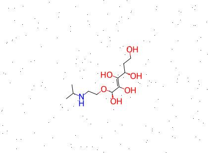 CC(C)NCCO[C@H](O)/C(O)=C(\O)[C@H](O)CCO